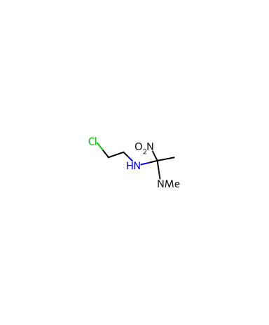 CNC(C)(NCCCl)[N+](=O)[O-]